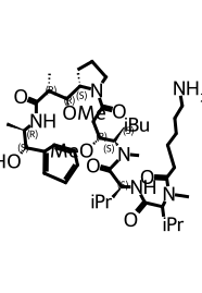 CC[C@H](C)[C@@H]([C@@H](CC(=O)N1CCC[C@H]1[C@H](OC)[C@@H](C)C(=O)N[C@H](C)[C@@H](O)c1ccccc1)OC)N(C)C(=O)[C@@H](NC(=O)C(C(C)C)N(C)C(=O)CCCCCN)C(C)C